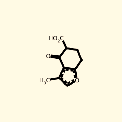 Cc1coc2c1C(=O)C(C(=O)O)CC2